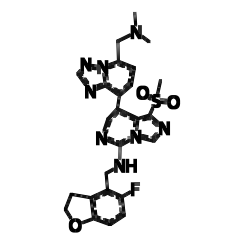 CN(C)Cc1ccc(-c2cnc(NCc3c(F)ccc4c3CCO4)n3cnc(S(C)(=O)=O)c23)c2ncnn12